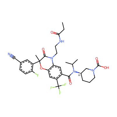 CCC(=O)NCCN1C(=O)C(C)(c2cc(C#N)ccc2F)Oc2cc(C(F)(F)F)c(C(=O)N(C(C)C)[C@@H]3CCCN(C(=O)O)C3)cc21